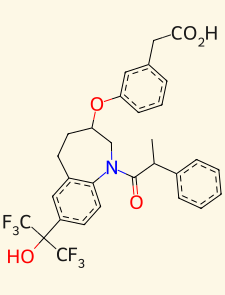 CC(C(=O)N1CC(Oc2cccc(CC(=O)O)c2)CCc2cc(C(O)(C(F)(F)F)C(F)(F)F)ccc21)c1ccccc1